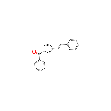 O=C(c1ccccc1)[C@H]1C=CC(/C=C/c2ccccc2)=C1